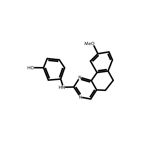 COc1ccc2c(c1)-c1nc(Nc3cccc(O)c3)ncc1CC2